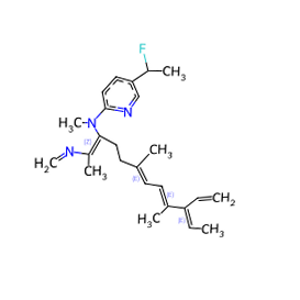 C=CC(=C\C)/C(C)=C/C=C(\C)CC/C(=C(\C)N=C)N(C)c1ccc(C(C)F)cn1